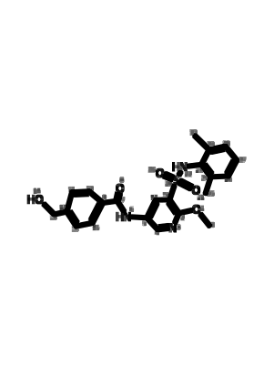 COc1ncc(NC(=O)c2ccc(CO)cc2)cc1S(=O)(=O)Nc1c(C)cccc1C